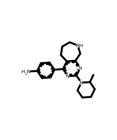 CC1CCCCN1c1nc2c(c(-c3ccc(N)cc3)n1)CCCNC2